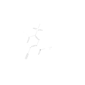 C#Cc1cc(CCCC)c(S(C)(=O)=O)cc1C(=O)OC